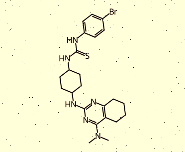 CN(C)c1nc(NC2CCC(NC(=S)Nc3ccc(Br)cc3)CC2)nc2c1CCCC2